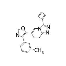 Cc1cccc(-c2ncoc2-c2ccc3nnc(C4=CC=C4)n3c2)c1